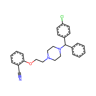 N#Cc1ccccc1OCCN1CCN(C(c2ccccc2)c2ccc(Cl)cc2)CC1